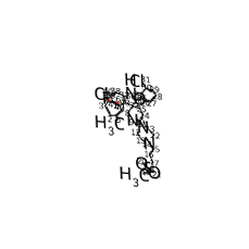 Cc1ccc(F)cc1[C@H]1N=C(N2CCN(CCCS(C)(=O)=O)CC2)C[C@@H](C2C=CC=C(Cl)C2)[C@]12C(=O)Nc1cc(Cl)ccc12